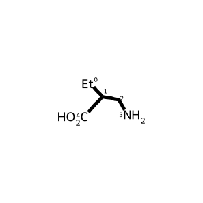 CCC(CN)C(=O)O